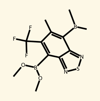 COB(OC)c1c(C(F)(F)F)c(C)c(B(C)C)c2nsnc12